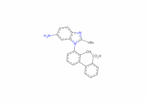 CCCCc1nc2ccc(N)cc2n1-c1cccc(-c2ccccc2C(=O)O)c1C